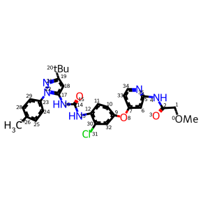 COCC(=O)Nc1cc(Oc2ccc(NC(=O)Nc3cc(C(C)(C)C)nn3-c3ccc(C)cc3)c(Cl)c2)ccn1